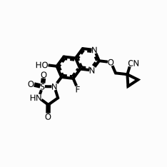 N#CC1(COc2ncc3cc(O)c(N4CC(=O)NS4(=O)=O)c(F)c3n2)CC1